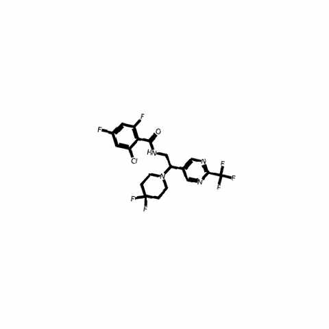 O=C(NCC(c1cnc(C(F)(F)F)nc1)N1CCC(F)(F)CC1)c1c(F)cc(F)cc1Cl